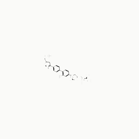 CC(=O)NC[C@H]1CN(c2ccc(-c3ccc(C4=NOC(CO)C4)cc3)c(F)c2)C(=O)O1